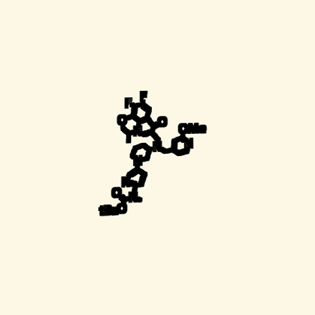 COc1cc(CN(Cc2cn3c4c(c(F)c(F)cc4c2=O)OCC3C)[C@H]2CCCN(c3ccc(N(C)C(=O)OC(C)(C)C)nc3)C2)ccn1